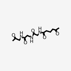 CC(=O)CCCC(=O)NCC(=O)NCC(=O)NCC(C)=O